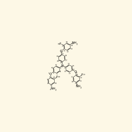 Nc1ccc(Oc2ccc(N(c3ccc(Oc4ccc(N)cc4F)cc3)c3ccc(Oc4ccc(N)cc4F)cc3)cc2)c(F)c1